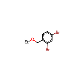 [CH2]COCc1ccc(Br)cc1Br